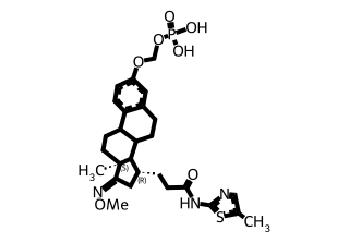 CON=C1C[C@@H](CCC(=O)Nc2ncc(C)s2)C2C3CCc4cc(OCOP(=O)(O)O)ccc4C3CC[C@]12C